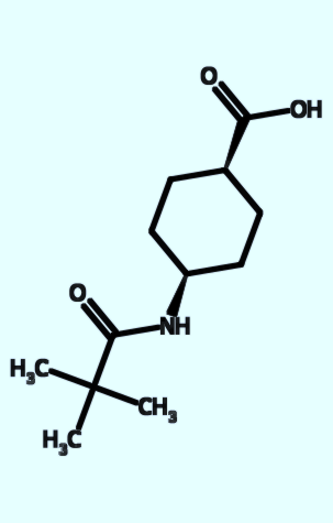 CC(C)(C)C(=O)N[C@H]1CC[C@@H](C(=O)O)CC1